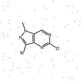 Cn1nc(Br)c2nc(Cl)ncc21